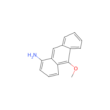 COc1c2ccccc2cc2c(N)cccc12